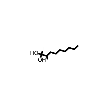 CCCCCCCC(I)C(O)(O)I